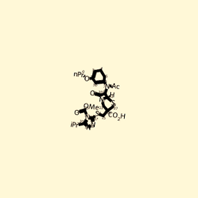 CCCOC1=CCCC(N(C(C)=O)C2C(=O)N3CC(CSc4nnc(C(C)C)n4C(=O)OC)(C(=O)O)CS[C@H]23)=C1